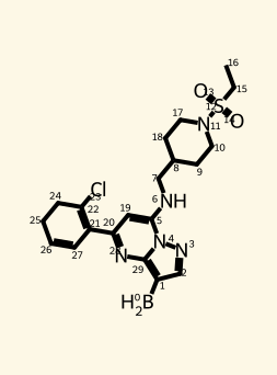 Bc1cnn2c(NCC3CCN(S(=O)(=O)CC)CC3)cc(C3=C(Cl)CCC=C3)nc12